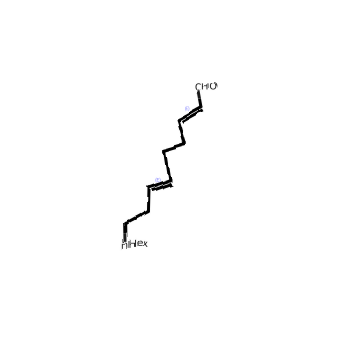 CCCCCCCC/C=C/CC/C=C/C=O